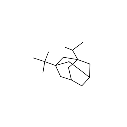 CC(C)C12CC3CC(C1)CC(C(C)(C)C)(C3)C2